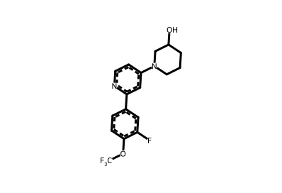 OC1CCCN(c2ccnc(-c3ccc(OC(F)(F)F)c(F)c3)c2)C1